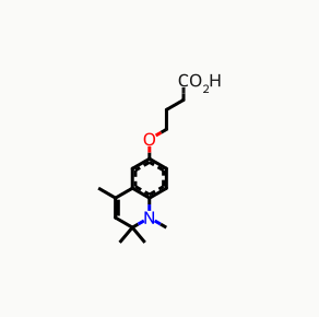 CC1=CC(C)(C)N(C)c2ccc(OCCCC(=O)O)cc21